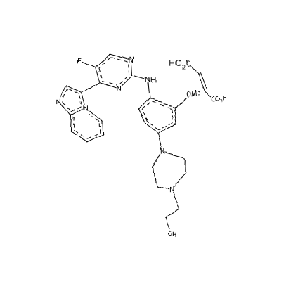 COc1cc(N2CCN(CCO)CC2)ccc1Nc1ncc(F)c(-c2cnc3ccccn23)n1.O=C(O)C=CC(=O)O